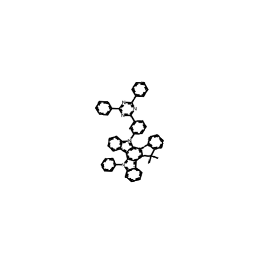 CC1(C)c2ccccc2-c2c1c1c3ccccc3n(-c3ccccc3)c1c1c3ccccc3n(-c3cccc(-c4nc(-c5ccccc5)nc(-c5ccccc5)n4)c3)c21